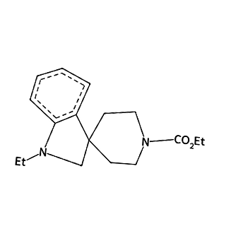 CCOC(=O)N1CCC2(CC1)CN(CC)c1ccccc12